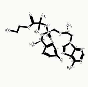 CCCOC(=O)C(C)(C)N[P@@](=O)(CO[C@H](C)Cn1cnc2c(N)ncnc21)N[C@H](C)c1ccc(Cl)cc1